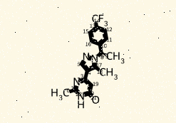 Cc1nc(-c2cnn([C@H](C)c3ccc(C(F)(F)F)cc3)c2C)cc(=O)[nH]1